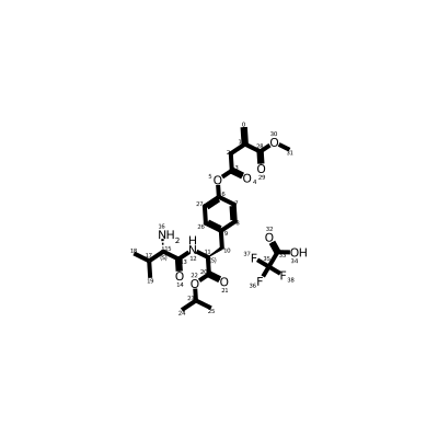 C=C(CC(=O)Oc1ccc(C[C@H](NC(=O)[C@@H](N)C(C)C)C(=O)OC(C)C)cc1)C(=O)OC.O=C(O)C(F)(F)F